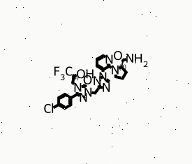 NC(=O)[C@H]1CCCN1c1ncccc1-n1cnc(Cn2nc(-c3ccc(Cl)cc3)n(C[C@H](O)C(F)(F)F)c2=O)n1